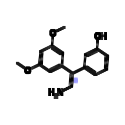 COc1cc(OC)cc(/C(=C\N)c2cccc(O)c2)c1